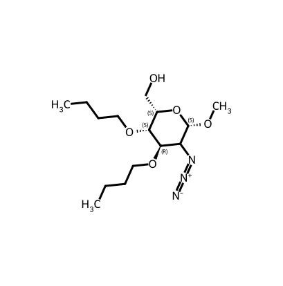 CCCCO[C@@H]1[C@H](CO)O[C@H](OC)C(N=[N+]=[N-])[C@H]1OCCCC